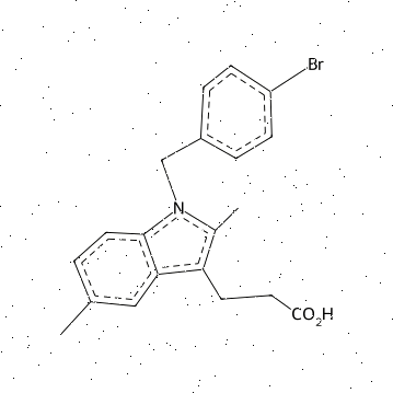 Cc1ccc2c(c1)c(CCC(=O)O)c(C)n2Cc1ccc(Br)cc1